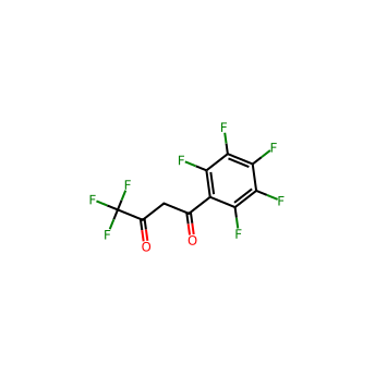 O=C(CC(=O)C(F)(F)F)c1c(F)c(F)c(F)c(F)c1F